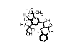 CC(C)(C)c1cc(C(O)C2Sc3ccccc3NC2=O)cc(C(C)(C)CO)c1O